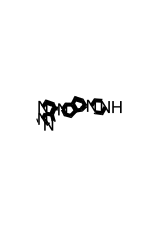 Cn1ncc2c(N3CCc4cc(N5CCNCC5)ccc4C3)ccnc21